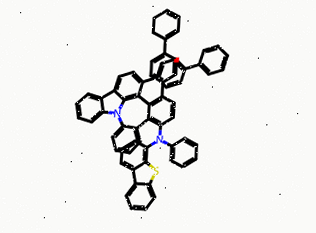 C1=CCCC(c2ccc(-c3ccc(N(c4ccccc4)c4cccc5c4sc4ccccc45)c4c3-c3c(-c5ccc(-c6ccccc6)cc5)ccc5c6ccccc6n(c35)-c3ccccc3-4)cc2)=C1